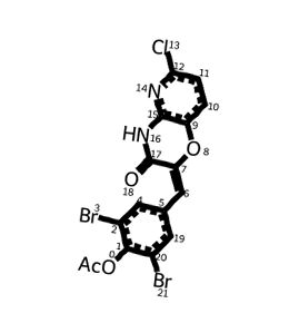 CC(=O)Oc1c(Br)cc(C=C2Oc3ccc(Cl)nc3NC2=O)cc1Br